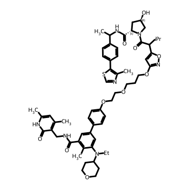 CCN(c1cc(-c2ccc(OCCOCCCOc3cc(C(C(=O)N4C[C@H](O)C[C@H]4C(=O)NC(C)c4ccc(-c5scnc5C)cc4)C(C)C)on3)cc2)cc(C(=O)NCc2c(C)cc(C)[nH]c2=O)c1C)C1CCOCC1